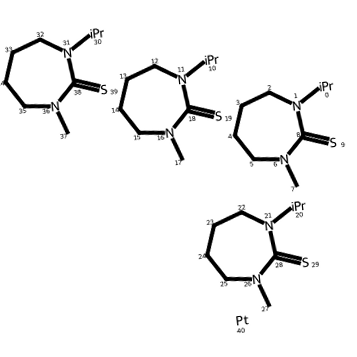 CC(C)N1CCCCN(C)C1=S.CC(C)N1CCCCN(C)C1=S.CC(C)N1CCCCN(C)C1=S.CC(C)N1CCCCN(C)C1=S.[Pt]